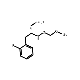 CC(C)(C)OCON[C@@H](CC(=O)O)Cc1ccccc1F